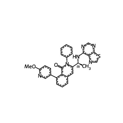 COc1ccc(-c2cccc3cc([C@H](C)Nc4ncnc5scnc45)n(-c4ccccc4)c(=O)c23)cn1